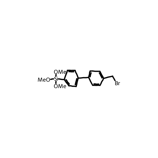 CO[Si](OC)(OC)c1ccc(-c2ccc(CBr)cc2)cc1